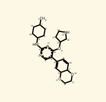 CC1CCC(Nc2ncc(C3=CC4OCCOC4C=C3)c(OC3CCNC3)n2)CC1